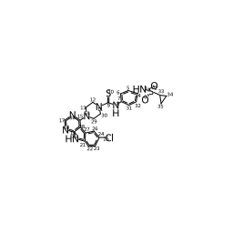 O=S(=O)(Nc1ccc(NC(=S)N2CCN(c3ncnc4[nH]c5ccc(Cl)cc5c34)CC2)cc1)C1CC1